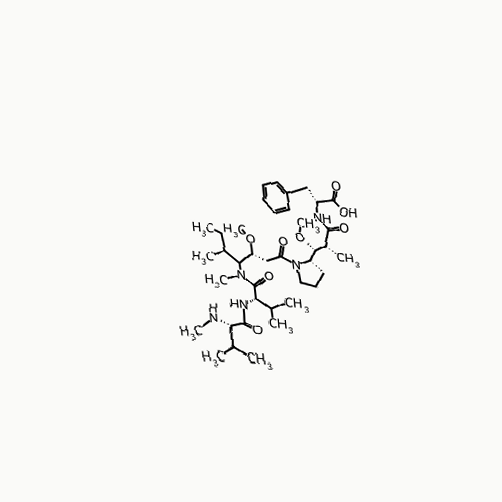 CC[C@H](C)C([C@@H](CC(=O)N1CCC[C@H]1[C@H](OC)[C@@H](C)C(=O)N[C@H](Cc1ccccc1)C(=O)O)OC)N(C)C(=O)[C@@H](NC(=O)[C@@H](NC)C(C)C)C(C)C